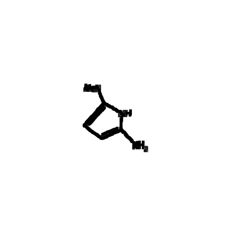 CNc1ccc(N)[nH]1